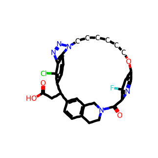 O=C(O)CC1c2ccc3c(c2)CN(CC3)C(=O)c2ncc(cc2F)OCCCCCCn2nnc3c(Cl)c1ccc32